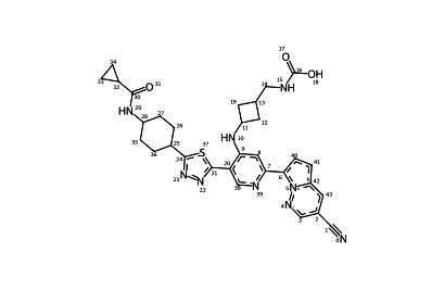 N#Cc1cnn2c(-c3cc(NC4CC(CNC(=O)O)C4)c(-c4nnc(C5CCC(NC(=O)C6CC6)CC5)s4)cn3)ccc2c1